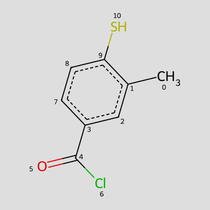 Cc1cc(C(=O)Cl)ccc1S